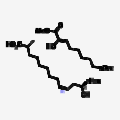 CCCCCCCCCCCCCCCC=C(O)C(=O)OC.CCCCCC[C@@H](O)C/C=C\CCCCCCC(C)C(=O)O